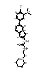 CN(C)c1cc(-c2ccc3nc(NC(=O)NCCN4CCCCC4)cn3n2)cnc1Cl